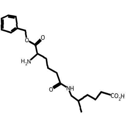 CC(CCCC(=O)O)CNC(=O)CCCC(N)C(=O)OCc1ccccc1